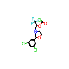 O=C(Cl)OC(CN1CCOC(c2cc(Cl)cc(Cl)c2)C1)C(F)(F)F